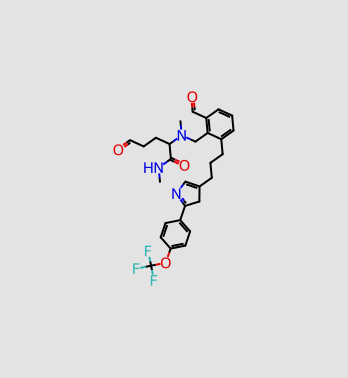 CNC(=O)C(CCC=O)N(C)Cc1c(C=O)cccc1CCCC1=CN=C(c2ccc(OC(F)(F)F)cc2)C1